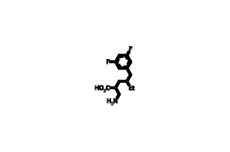 CCC(Cc1cc(F)cc(F)c1)CC(CN)C(=O)O